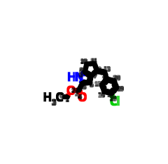 CCOC(=O)c1cc2c([nH]1)CCC2=Cc1ccc(Cl)cc1